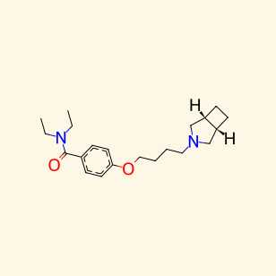 CCN(CC)C(=O)c1ccc(OCCCCN2C[C@H]3CC[C@H]3C2)cc1